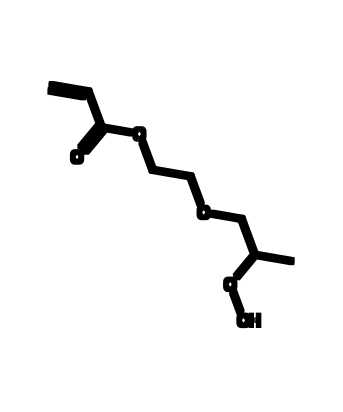 C=CC(=O)OCCOCC(C)OO